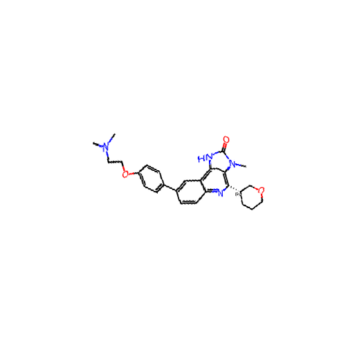 CN(C)CCOc1ccc(-c2ccc3nc([C@H]4CCCOC4)c4c([nH]c(=O)n4C)c3c2)cc1